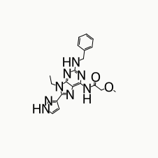 CCn1c(-c2cc[nH]n2)nc2c(NC(=O)COC)nc(NCc3ccccc3)nc21